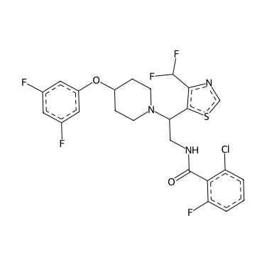 O=C(NCC(c1scnc1C(F)F)N1CCC(Oc2cc(F)cc(F)c2)CC1)c1c(F)cccc1Cl